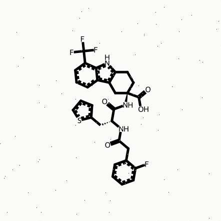 O=C(Cc1ccccc1F)N[C@H](Cc1cccs1)C(=O)N[C@]1(C(=O)O)CCc2[nH]c3c(C(F)(F)F)cccc3c2C1